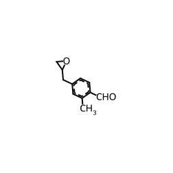 Cc1cc(CC2CO2)ccc1C=O